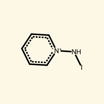 IN[n+]1ccccc1